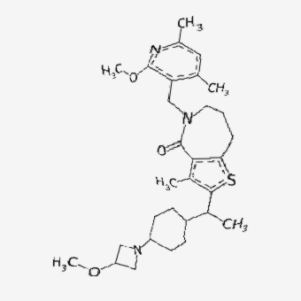 COc1nc(C)cc(C)c1CN1CCCc2sc(C(C)C3CCC(N4CC(OC)C4)CC3)c(C)c2C1=O